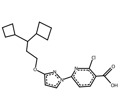 O=C(O)c1ccc(-n2ccc(OCCC(C3CCC3)C3CCC3)n2)nc1Cl